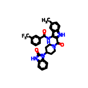 Cc1ccc2[nH]c(C(=O)N3CCC(n4c(=O)[nH]c5ccccc54)CC3)c(NC(=O)c3cccc(C(F)(F)F)c3)c2c1